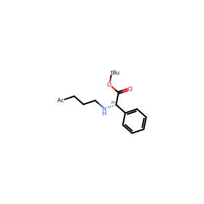 CC(=O)CCCN[C@H](C(=O)OC(C)(C)C)c1ccccc1